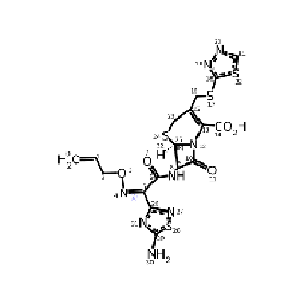 C=CCO/N=C(\C(=O)NC1C(=O)N2C(C(=O)O)=C(CSc3nncs3)CS[C@H]12)c1nsc(N)n1